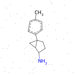 Cc1ccc(C23CCC(N)C2C3)cc1